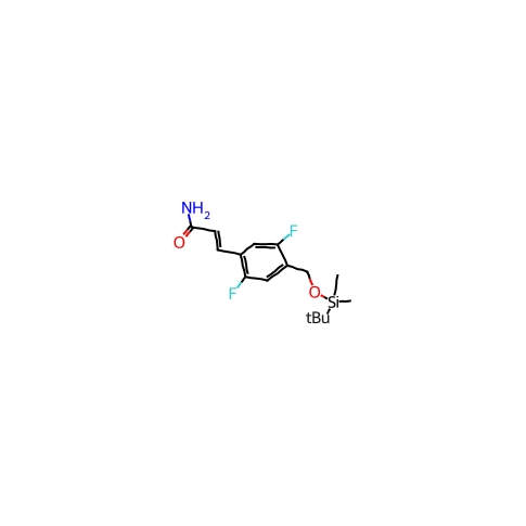 CC(C)(C)[Si](C)(C)OCc1cc(F)c(C=CC(N)=O)cc1F